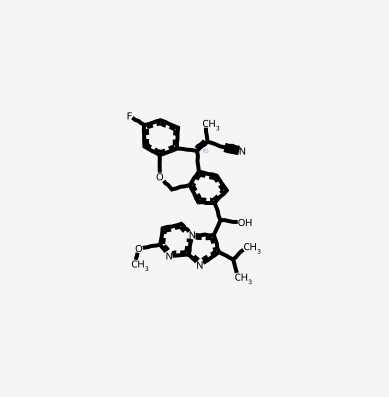 COc1ccn2c(C(O)c3ccc4c(c3)COc3cc(F)ccc3/C4=C(\C)C#N)c(C(C)C)nc2n1